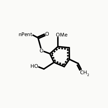 C=Cc1cc(CO)c(OC(=O)CCCCC)c(OC)c1